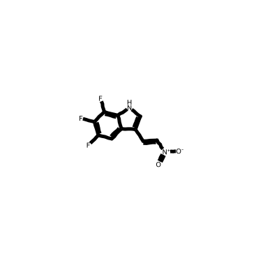 O=[N+]([O-])C=Cc1c[nH]c2c(F)c(F)c(F)cc12